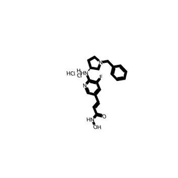 Cl.Cl.O=C(/C=C/c1cnc(N[C@@H]2CCN(Cc3ccccc3)C2)c(F)c1)NO